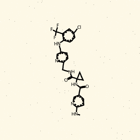 CNc1ccc(C(=O)NC2(C(=O)NCc3ccc(Nc4ccc(Cl)cc4C(F)(F)F)cn3)CC2)cn1